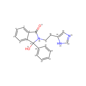 O=C1c2ccccc2C(O)(c2ccccc2)N1CCc1cnc[nH]1